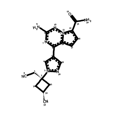 N#CC[C@]1(n2cc(-c3nc(N)nn4c(C(N)=O)ccc34)cn2)C[C@H](C#N)C1